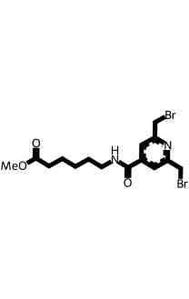 COC(=O)CCCCCNC(=O)c1cc(CBr)nc(CBr)c1